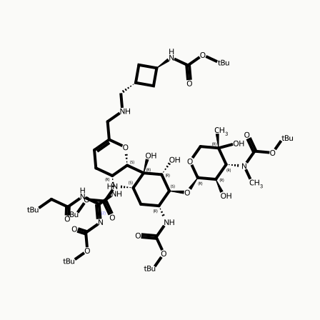 CN(C(=O)OC(C)(C)C)[C@@H]1[C@@H](O)[C@@H](O[C@@H]2[C@@H](O)[C@@](O)([C@H]3OC(CNC[C@H]4C[C@H](NC(=O)OC(C)(C)C)C4)=CC[C@H]3N/C(=N/C(=O)OC(C)(C)C)NC(=O)CC(C)(C)C)[C@@H](NC(=O)OC(C)(C)C)C[C@H]2NC(=O)OC(C)(C)C)OC[C@]1(C)O